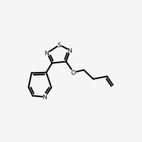 C=CCCOc1nsnc1-c1cccnc1